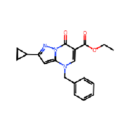 CCOC(=O)c1cn(Cc2ccccc2)c2cc(C3CC3)nn2c1=O